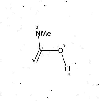 C=C(NC)OCl